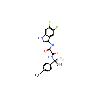 C[C@]([SiH3])(NC(=O)C(=O)Nc1c[nH]c2cc(F)c(F)cc12)c1ccc(C(F)(F)F)cc1